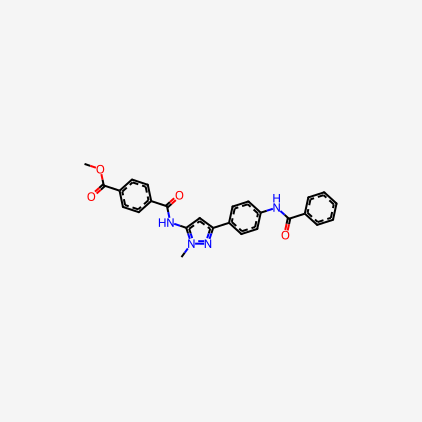 COC(=O)c1ccc(C(=O)Nc2cc(-c3ccc(NC(=O)c4ccccc4)cc3)nn2C)cc1